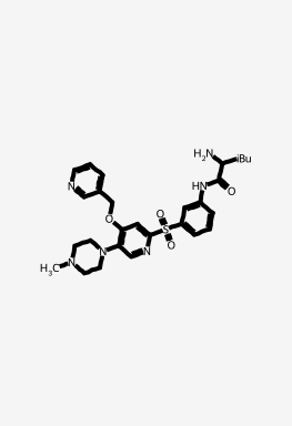 CCC(C)C(N)C(=O)Nc1cccc(S(=O)(=O)c2cc(OCc3cccnc3)c(N3CCN(C)CC3)cn2)c1